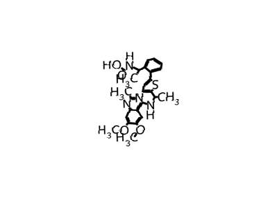 COc1cc2nc(C)nc(NC(C)c3ccc(-c4ccccc4C(C)NC(=O)O)s3)c2cc1OC